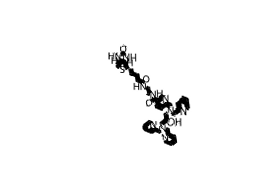 O=C(CCCC[C@@H]1SC[C@@H]2NC(=O)N[C@@H]21)NCCNC(=O)c1ccc(CN(Cc2ccccn2)CC(O)CN(Cc2ccccn2)Cc2ccccn2)nc1